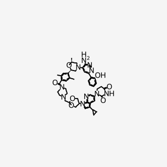 Cc1cc([C@@H]2CN(c3cc(-c4ccccc4O)nnc3N)C[C@H](C)O2)c(C)cc1C(=O)N1CCN(CC2OCC(n3cc(C4CC4)c4cc(N5CCC(=O)NC5=O)cnc43)CO2)CC1